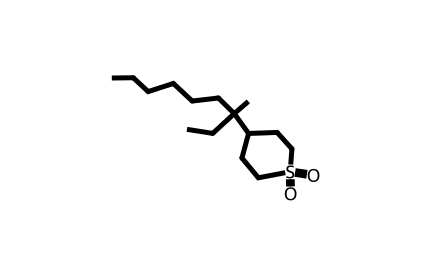 CCCCCCC(C)(CC)C1CCS(=O)(=O)CC1